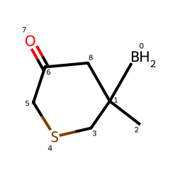 BC1(C)CSCC(=O)C1